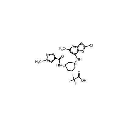 Cn1cc(C(=O)N[C@@H]2CCC[C@H](Nc3cc(C(F)(F)F)nc4cc(Cl)sc34)C2)cn1.O=C(O)C(F)(F)F